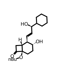 CCCCO[C@]12CC[C@@H](O)[C@H](/C=C/[C@@H](O)C3CCCCC3)[C@H]1CC2=O